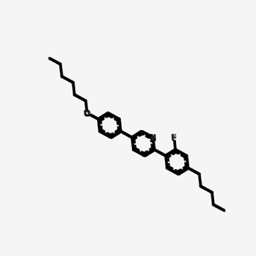 CCCCCCOc1ccc(-c2ccc(-c3ccc(CCCCC)cc3F)nc2)cc1